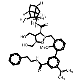 COc1c(CN2O[C@@H](CO)C(CO)[C@H]2C(=O)N[C@H]2C[C@H]3C[C@@H]([C@@H]2C)C3(C)C)cccc1-c1cc(C(=O)NCCc2ccccc2)cc(N(C)C)c1